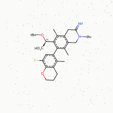 CCC(C)N1Cc2c(C)c(-c3cc(F)c4c(c3C)CCCO4)c([C@H](OC(C)(C)C)C(=O)O)c(C)c2CC1=N